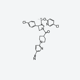 C[C@H](Oc1ccc(Cl)cn1)[C@H]1CN(C(=O)C2CCN(c3ccc(C#N)cn3)CC2)CC1c1ccc(Cl)cc1